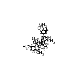 CC(=O)Nc1ccc(C(=O)N[C@@H](C)C(=O)N2CCC[C@H]2C(=O)N[C@H]2CC(=O)O[C@H]2O[C@H]2C[C@@H](C)CC[C@@H]2C(C)C)cc1Cl